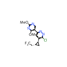 COc1ncc(-c2cc([C@H]3C[C@@H]3CC(F)(F)F)c(Cl)nn2)c(OC)n1